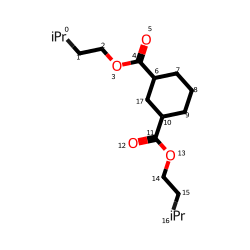 CC(C)CCOC(=O)C1CCCC(C(=O)OCCC(C)C)C1